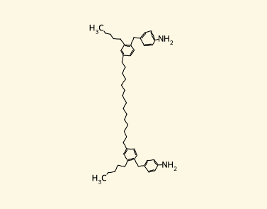 CCCCCc1cc(CCCCCCCCCCCCCCCc2ccc(Cc3ccc(N)cc3)c(CCCCC)c2)ccc1Cc1ccc(N)cc1